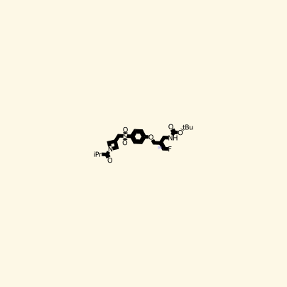 CC(C)C(=O)N1CC(CS(=O)(=O)c2ccc(OC/C(=C/F)CNC(=O)OC(C)(C)C)cc2)C1